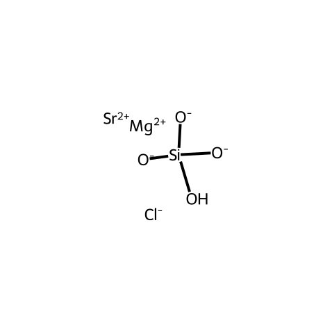 [Cl-].[Mg+2].[O-][Si]([O-])([O-])O.[Sr+2]